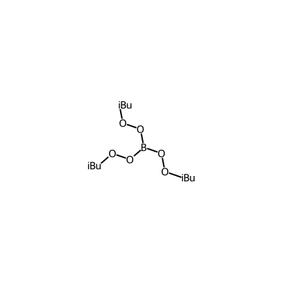 CCC(C)OOB(OOC(C)CC)OOC(C)CC